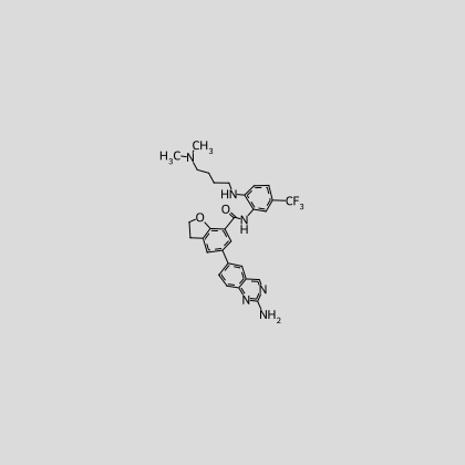 CN(C)CCCCNc1ccc(C(F)(F)F)cc1NC(=O)c1cc(-c2ccc3nc(N)ncc3c2)cc2c1OCC2